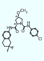 CO[C@@H]1C[C@H](C(=O)Nc2ccc3c(c2)CC(F)(F)CC3)N(C(=O)Nc2ccc(Cl)cc2)C1